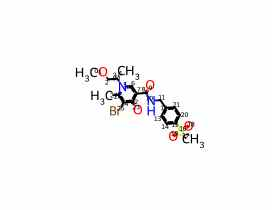 COC[C@H](C)n1cc(C(=O)NCc2ccc(S(C)(=O)=O)cc2)c(=O)c(Br)c1C